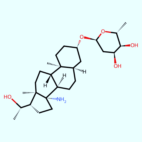 C[C@H](O)[C@H]1CC[C@]2(N)[C@@H]3CC[C@@H]4C[C@@H](O[C@@H]5C[C@H](O)[C@H](O)[C@@H](C)O5)CC[C@]4(C)[C@H]3CC[C@]12C